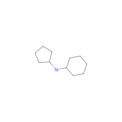 C1CCC([N]C2CCCC2)CC1